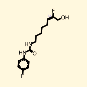 O=C(NCCCCC/C=C(/F)CO)Nc1ccc(F)cc1